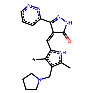 Cc1[nH]c(C=C2C(=O)NN=C2c2cccnn2)c(C(C)C)c1CN1CCCC1